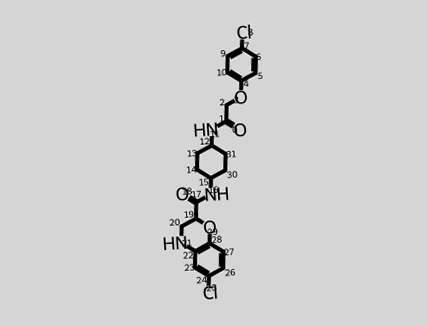 O=C(COc1ccc(Cl)cc1)NC1CCC(NC(=O)C2CNc3cc(Cl)ccc3O2)CC1